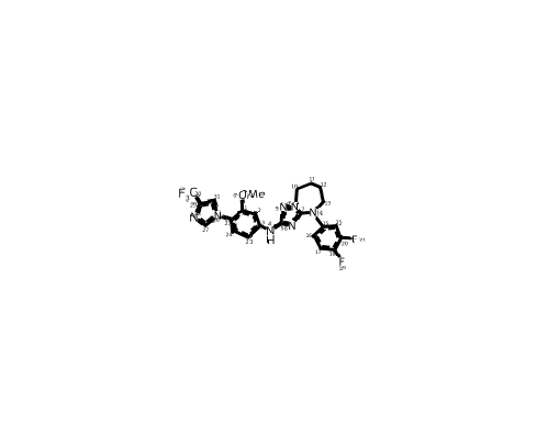 COc1cc(Nc2nc3n(n2)CCCCN3c2ccc(F)c(F)c2)ccc1-n1cnc(C(F)(F)F)c1